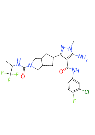 CC(NC(=O)N1CC2CC(c3nn(C)c(N)c3C(=O)Nc3ccc(F)c(Cl)c3)CC2C1)C(F)(F)F